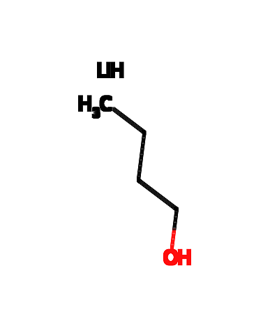 CCCCO.[LiH]